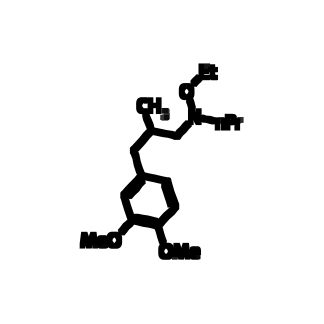 CCCN(CC(C)Cc1ccc(OC)c(OC)c1)OCC